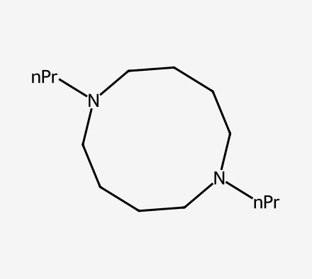 CCCN1CCCCN(CCC)CCCC1